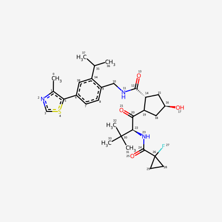 Cc1ncsc1-c1ccc(CNC(=O)[C@@H]2C[C@@H](O)CC2C(=O)[C@@H](NC(=O)C2(F)CC2)C(C)(C)C)c(C(C)C)c1